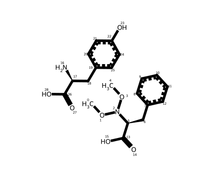 CON(OC)[C@@H](Cc1ccccc1)C(=O)O.N[C@@H](Cc1ccc(O)cc1)C(=O)O